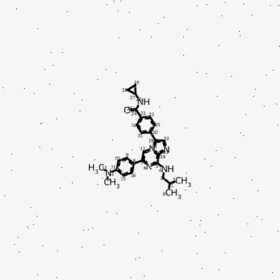 CC(C)CNc1nc(-c2ccc(N(C)C)cc2)cn2c(-c3ccc(C(=O)NC4CC4)cc3)cnc12